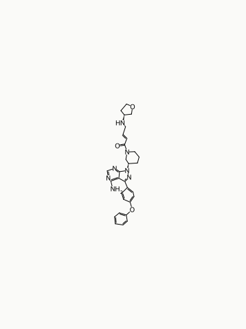 Nc1ncnc2c1c(-c1ccc(Oc3ccccc3)cc1)nn2[C@@H]1CCCN(C(=O)C=CCN[C@H]2CCOC2)C1